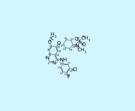 COc1cc2ncnc(Nc3ccc(F)c(Cl)c3)c2cc1O[C@H]1CC[C@H](N(C)S(C)(=O)=O)CC1